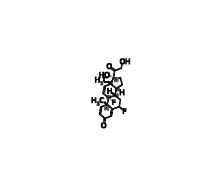 C[C@]12C=CC(=O)C=C1C(F)C[C@H]1[C@@H]3CC[C@](O)(C(=O)CO)[C@@]3(C)C=C[C@@]12F